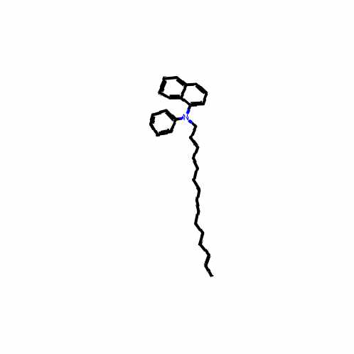 CCCCCCCCCCCCCCCN(c1ccccc1)c1cccc2ccccc12